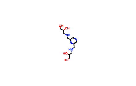 OCC(O)CNCc1cncc(CNCC(O)CO)n1